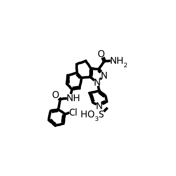 CS(=O)(=O)O.NC(=O)c1nn(-c2ccncc2)c2c1CCc1ccc(NC(=O)c3ccccc3Cl)cc1-2